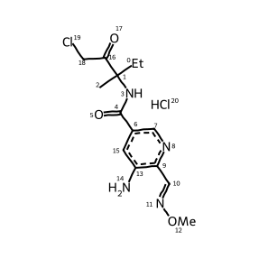 CCC(C)(NC(=O)c1cnc(C=NOC)c(N)c1)C(=O)CCl.Cl